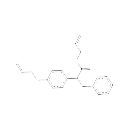 C=CCOC(=O)C(Cc1ccccc1)c1ccc(OCC=C)cc1